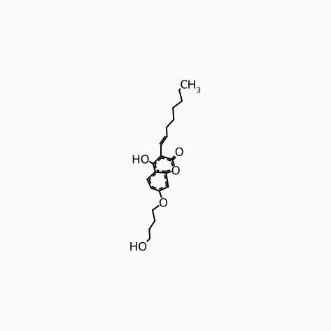 CCCCCCC=Cc1c(O)c2ccc(OCCCCO)cc2oc1=O